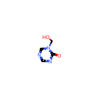 O=c1ncncn1CO